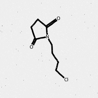 O=C1CCC(=O)N1CCCCCl